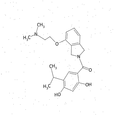 CC(C)c1cc(C(=O)N2Cc3cccc(OCCN(C)C)c3C2)c(O)cc1O